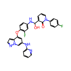 O=c1c(C(O)Nc2ccc(Oc3cc(Nc4ccccn4)cn4nccc34)c(F)c2)cccn1-c1ccc(F)cc1